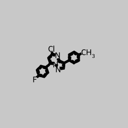 Cc1ccc(-c2cnn3c(-c4ccc(F)cc4)cc(Cl)nc23)cc1